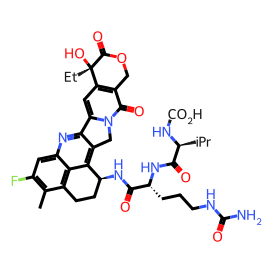 CC[C@@]1(O)C(=O)OCc2c1cc1n(c2=O)Cc2c-1nc1cc(F)c(C)c3c1c2[C@@H](NC(=O)[C@@H](CCCNC(N)=O)NC(=O)[C@@H](NC(=O)O)C(C)C)CC3